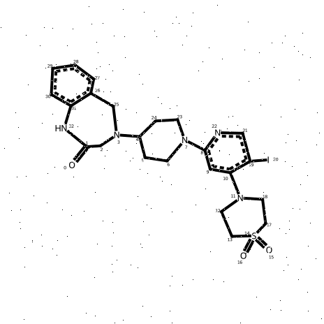 O=C1CN(C2CCN(c3cc(N4CCS(=O)(=O)CC4)c(I)cn3)CC2)Cc2ccccc2N1